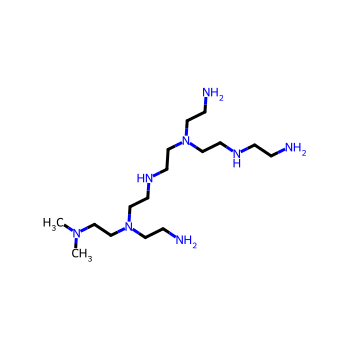 CN(C)CCN(CCN)CCNCCN(CCN)CCNCCN